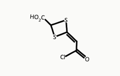 O=C(Cl)C=C1SC(C(=O)O)S1